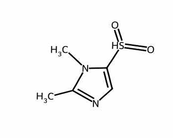 Cc1ncc([SH](=O)=O)n1C